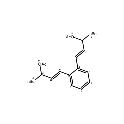 CCCCC(C=Cc1ccccc1C=CC(CCCC)OC(C)=O)OC(C)=O